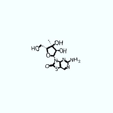 C[C@@]1(O)[C@@H](CO)O[C@@H](n2c(=O)sc3cnc(N)nc32)[C@@H]1O